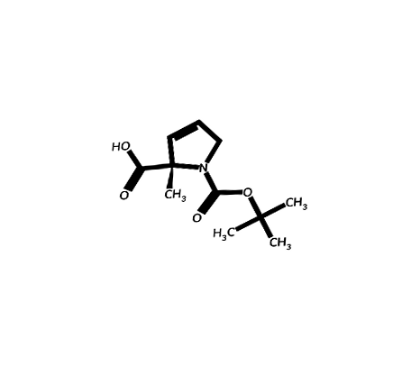 CC(C)(C)OC(=O)N1CC=C[C@@]1(C)C(=O)O